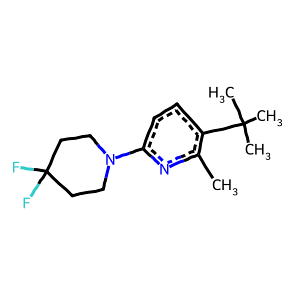 Cc1nc(N2CCC(F)(F)CC2)ccc1C(C)(C)C